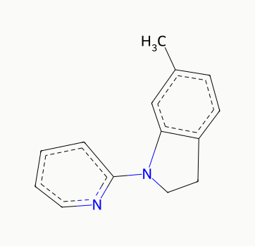 Cc1ccc2c(c1)N(c1ccccn1)CC2